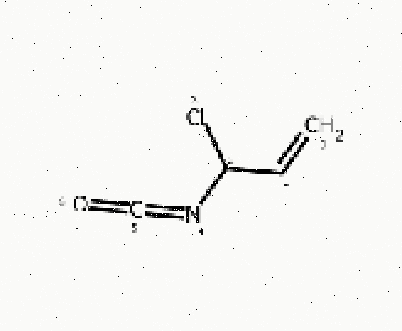 C=CC(Cl)N=C=O